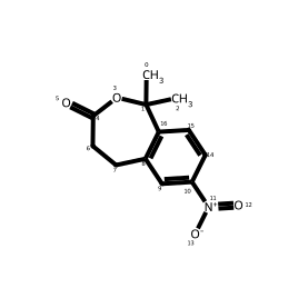 CC1(C)OC(=O)CCc2cc([N+](=O)[O-])ccc21